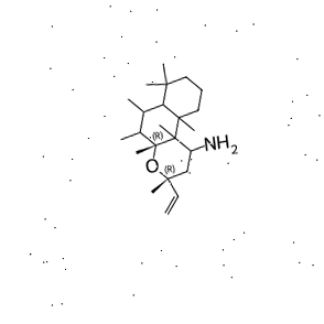 C=C[C@@]1(C)CC(N)C2(C)C3(C)CCCC(C)(C)C3C(C)C(C)[C@@]2(C)O1